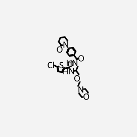 O=C(NCC(COCCN1CCOCC1)NC(=O)c1ccc(Cl)s1)c1ccc(N2CCCCC2=O)cc1